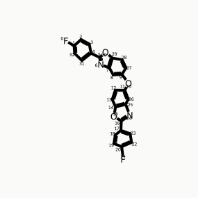 Fc1ccc(-c2nc3cc(Oc4ccc5oc(-c6ccc(F)cc6)nc5c4)ccc3o2)cc1